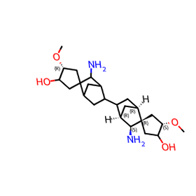 CO[C@H]1C[C@]2(CC1O)[C@@H]1CC(C3CC4CC3C(N)C43CC(O)[C@H](OC)C3)[C@@H](C1)[C@@H]2N